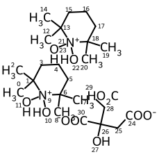 CC1(C)CCCC(C)(C)[N+]1(O)O.CC1(C)CCCC(C)(C)[N+]1(O)O.O=C([O-])CC(O)(CC(=O)O)C(=O)[O-]